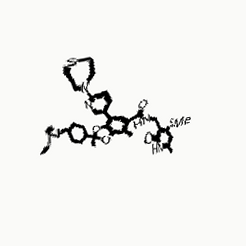 CSc1cc(C)[nH]c(=O)c1CNC(=O)c1cc(-c2ccc(N3CCSCC3)nc2)c2c(c1C)OC(C)(C1CCC(N(C)C)CC1)O2